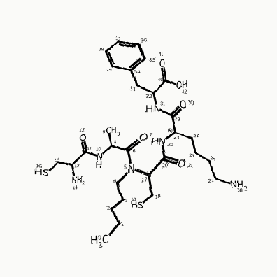 CCCCCN(C(=O)C(C)NC(=O)C(N)CS)C(CS)C(=O)N[C@H](CCCCN)C(=O)NC(Cc1ccccc1)C(=O)O